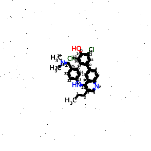 CCCc1cnc2ccc(-c3cc(Cl)c(O)c(Cl)c3)cc2c1Nc1ccc(CN(C)C)cc1